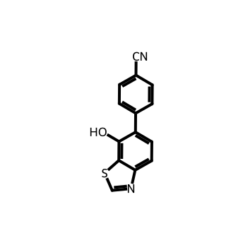 N#Cc1ccc(-c2ccc3ncsc3c2O)cc1